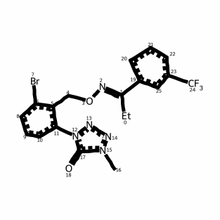 CCC(=NOCc1c(Br)cccc1-n1nnn(C)c1=O)c1cccc(C(F)(F)F)c1